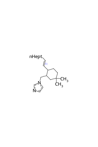 CCCCCCC/C=C/C1CCC(C)(C)CC1Cn1ccnc1